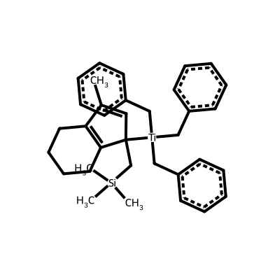 CC1=C[C](C[Si](C)(C)C)([Ti]([CH2]c2ccccc2)([CH2]c2ccccc2)[CH2]c2ccccc2)C2=C1CCCC2